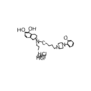 CCCN(CCCCCCN1CCN(c2ccccc2OC)CC1)[C@H]1CCc2c(ccc(O)c2O)C1.Cl.Cl.Cl